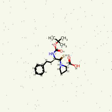 CC(C)(C)OC(=O)N[C@H](CCc1ccccc1)C(=S)N1CCC[C@H]1C(=O)O